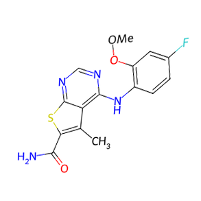 COOc1cc(F)ccc1Nc1ncnc2sc(C(N)=O)c(C)c12